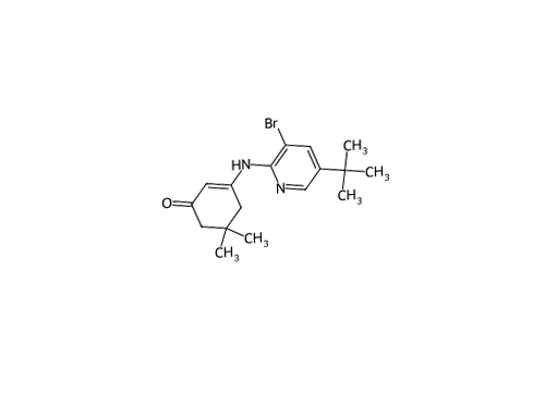 CC1(C)CC(=O)C=C(Nc2ncc(C(C)(C)C)cc2Br)C1